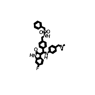 CN(C)Cc1ccc(NC(=C2C(=O)Nc3cc(F)ccc32)c2ccc(CNS(=O)(=O)Cc3ccccc3)cc2)cc1